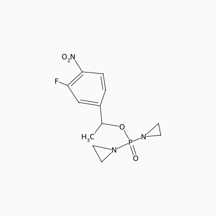 CC(OP(=O)(N1CC1)N1CC1)c1ccc([N+](=O)[O-])c(F)c1